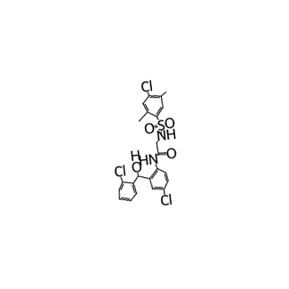 Cc1cc(S(=O)(=O)NCC(=O)Nc2ccc(Cl)cc2C(O)c2ccccc2Cl)c(C)cc1Cl